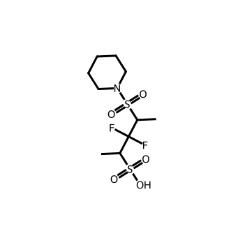 CC(C(F)(F)C(C)S(=O)(=O)N1CCCCC1)S(=O)(=O)O